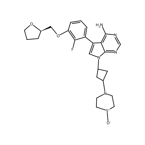 Nc1ncnc2c1c(-c1cccc(OC[C@H]3CCCO3)c1F)cn2C1CC(N2CC[S+]([O-])CC2)C1